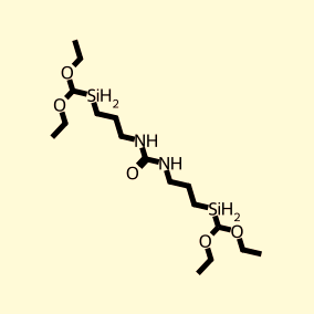 CCOC(OCC)[SiH2]CCCNC(=O)NCCC[SiH2]C(OCC)OCC